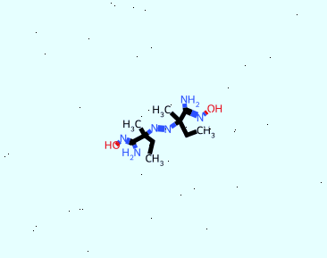 CCC(C)(N=NC(C)(CC)C(N)=NO)C(N)=NO